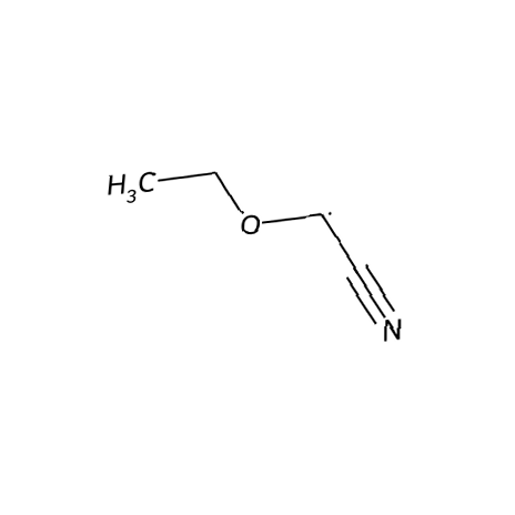 CCO[CH]C#N